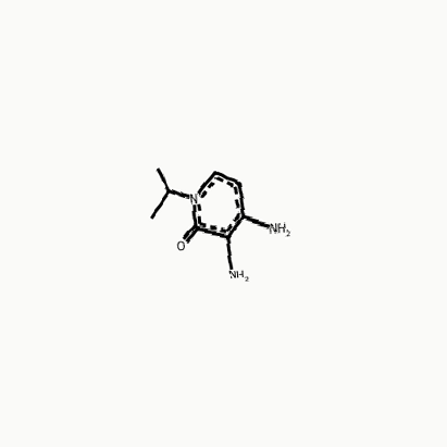 CC(C)n1ccc(N)c(N)c1=O